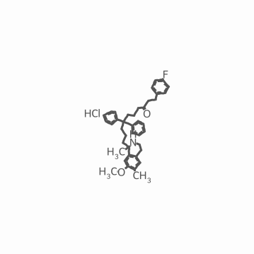 COc1cc2c(cc1C)CCNC2(C)CCCC(CCCC(=O)CCc1ccc(F)cc1)(c1ccccc1)c1ccccc1.Cl